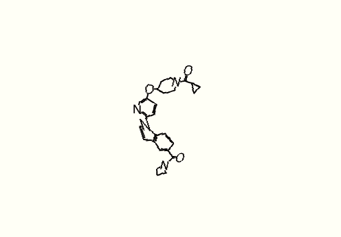 O=C(c1ccc2c(ccn2-c2ccc(OC3CCN(C(=O)C4CC4)CC3)cn2)c1)N1CCC1